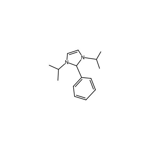 CC(C)N1C=CN(C(C)C)C1c1ccccc1